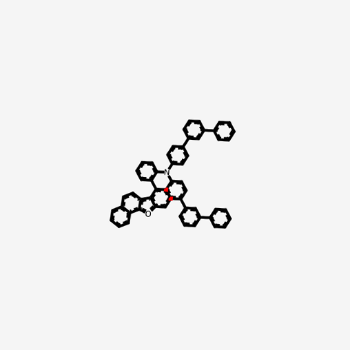 c1ccc(-c2cccc(-c3ccc(N(c4ccc(-c5cccc(-c6ccccc6)c5)cc4)c4ccccc4-c4cccc5oc6c7ccccc7ccc6c45)cc3)c2)cc1